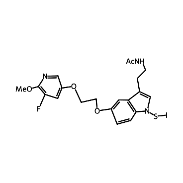 COc1ncc(OCCOc2ccc3c(c2)c(CCNC(C)=O)cn3SI)cc1F